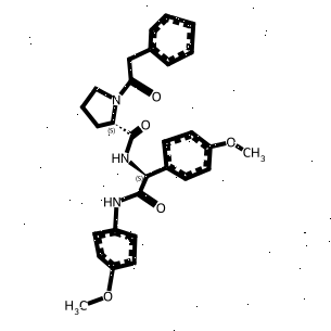 COc1ccc(NC(=O)[C@@H](NC(=O)[C@@H]2CCCN2C(=O)Cc2ccccc2)c2ccc(OC)cc2)cc1